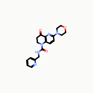 O=C1CCN(C(=O)NCc2ccccn2)c2ccc(N3CCOCC3)nc21